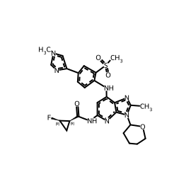 Cc1nc2c(Nc3ccc(-c4cn(C)cn4)cc3S(C)(=O)=O)cc(NC(=O)[C@H]3C[C@H]3F)nc2n1C1CCCCO1